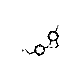 OCc1ccc(B2OCc3cc(F)ccc32)cc1